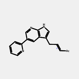 CC(=O)/C=C/Cc1c[nH]c2ncc(-c3ccccn3)cc12